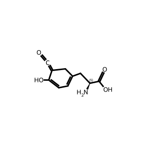 N[C@@H](CC1=CC=C(O)C(=C=O)C1)C(=O)O